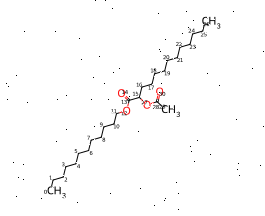 CCCCCCCCCCCCOC(=O)C(CCCCCCCCCCC)OC(C)=O